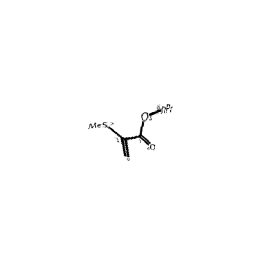 C=C(SC)C(=O)OCCC